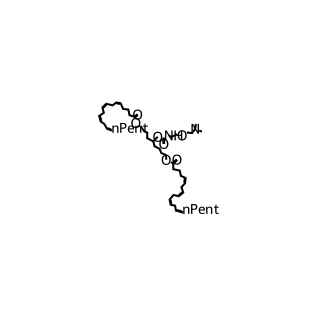 CCCCC/C=C\C/C=C\C/C=C\C/C=C\CCCC(=O)OCCCCC(CCCCOC(=O)CCC/C=C\C/C=C\C/C=C\C/C=C\CCCCC)OC(=O)NCCOCCN(C)C